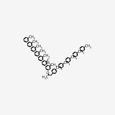 CC(=O)Cc1ccc(C)cc1.Cc1ccccc1.Cc1ccccc1.Cc1ccccc1.Cc1ccccc1.Cc1ccccc1.Cc1ccccc1.Cc1ccccc1.Cc1ccccc1.Cc1ccccc1.Cc1ccccc1.Cc1ccccc1